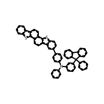 c1ccc(N(c2ccc(-c3ccc4sc5c(ccc6c5ccc5c7ccccc7sc56)c4c3)cc2)c2cccc(C3(c4ccccc4)c4ccccc4-c4ccccc43)c2)cc1